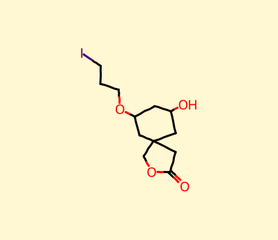 O=C1CC2(CO1)CC(O)CC(OCCCI)C2